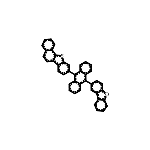 c1ccc2c(c1)ccc1c3ccc(-c4c5ccccc5c(-c5ccc6oc7ccccc7c6c5)c5ccccc45)cc3sc21